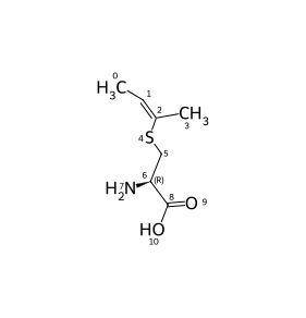 CC=C(C)SC[C@H](N)C(=O)O